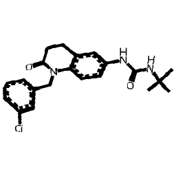 CC(C)(C)NC(=O)Nc1ccc2c(c1)CCC(=O)N2Cc1cccc(Cl)c1